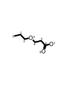 CCCOCCC([O])=O